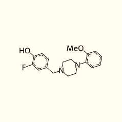 COc1ccccc1N1CCN(Cc2ccc(O)c(F)c2)CC1